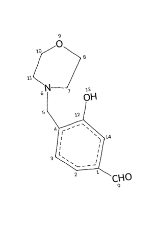 O=Cc1ccc(CN2CCOCC2)c(O)c1